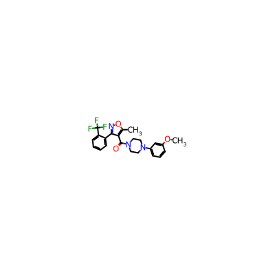 COc1cccc(N2CCN(C(=O)c3c(-c4ccccc4C(F)(F)F)noc3C)CC2)c1